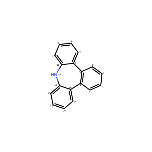 [c]1cccc2c1-c1ccccc1Nc1ccccc1-2